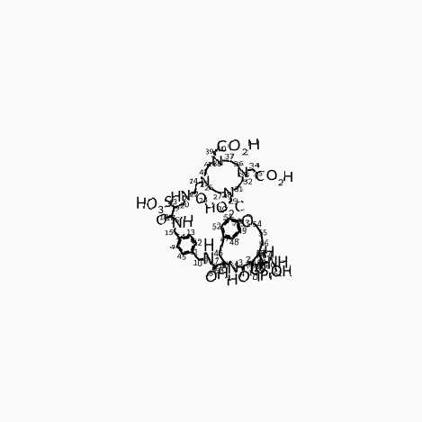 CC(C)C[C@H]1C(=O)N[C@H](C(=O)NCc2ccc(CNC(=O)C(CNC(=O)CN3CCN(CC(=O)O)CCN(CC(=O)O)CCN(CC(=O)O)CC3)S(=O)(=O)O)cc2)Cc2ccc(cc2)OCCC[C@@H]1C(=O)NO